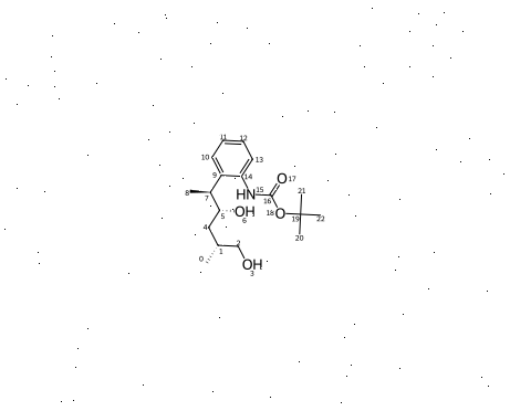 C[C@@H](CO)C[C@@H](O)[C@@H](C)c1ccccc1NC(=O)OC(C)(C)C